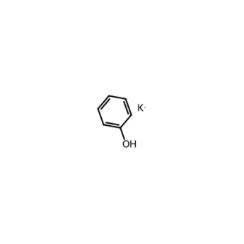 Oc1ccccc1.[K]